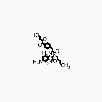 CCCCCN(C(=O)[C@@H](N)Cc1ccc(C(=O)C(=O)CCO)cc1)[C@@H](Cc1ccc(N)cc1)C(N)=O